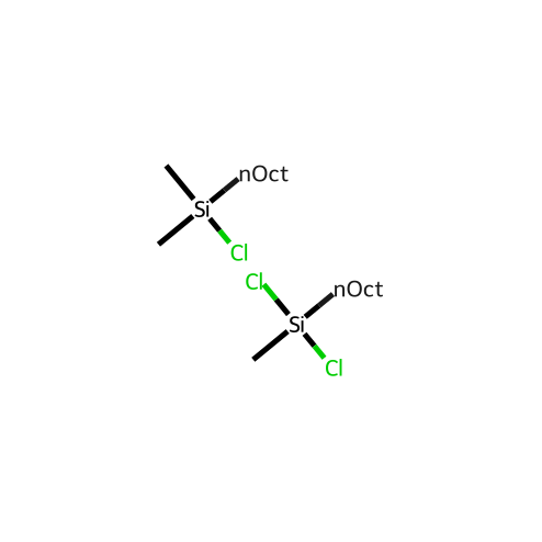 CCCCCCCC[Si](C)(C)Cl.CCCCCCCC[Si](C)(Cl)Cl